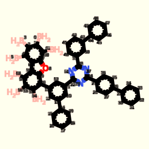 Bc1c(B)c(B)c2c(oc3c(-c4cc(-c5ccccc5)cc(-c5nc(-c6ccc(-c7ccccc7)cc6)nc(-c6cccc(-c7ccccc7)c6)n5)c4)c(B)c(B)c(B)c32)c1B